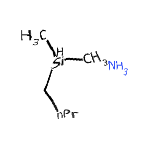 CCCC[SiH](C)C.N